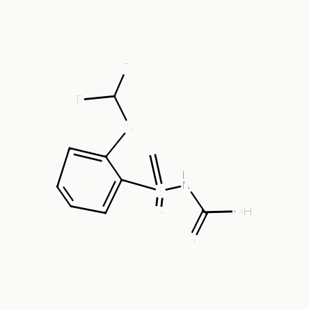 O=C(O)NS(=O)(=O)c1ccccc1SC(F)F